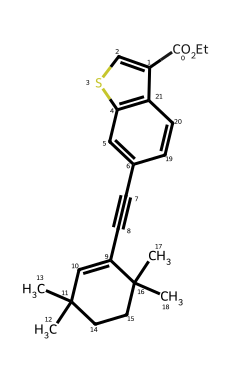 CCOC(=O)c1csc2cc(C#CC3=CC(C)(C)CCC3(C)C)ccc12